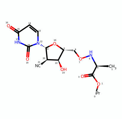 CC(C)OC(=O)[C@H](C)NOC[C@H]1O[C@@H](n2ccc(=O)[nH]c2=O)[C@H](C#N)[C@@H]1O